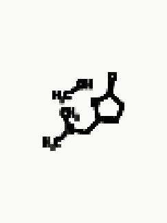 CN(C)CC1=CCC(=O)O1.CO